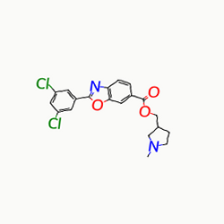 CN1CCC(COC(=O)c2ccc3nc(-c4cc(Cl)cc(Cl)c4)oc3c2)C1